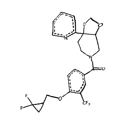 O=C(c1ccc(OCC2CC2(F)F)c(C(F)(F)F)c1)N1CCC2(c3ccccn3)OCOC2C1